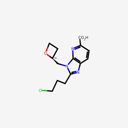 O=C(O)c1ccc2nc(CCCCl)n(C[C@@H]3CCO3)c2n1